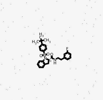 CC(C)(C)c1ccc(S(=O)(=O)N2c3ccccc3C[C@H]2C(=O)NCCc2cccc(F)c2)cc1